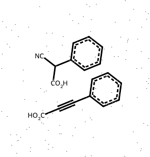 N#CC(C(=O)O)c1ccccc1.O=C(O)C#Cc1ccccc1